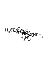 CCN1CCc2c(sc(NC(=O)c3ccc(S(=O)(=O)N4CCN(C)CC4)cc3)c2C(N)=O)C1